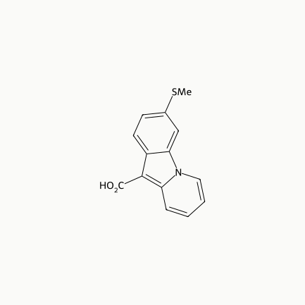 CSc1ccc2c(C(=O)O)c3ccccn3c2c1